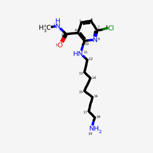 CNC(=O)c1ccc(Cl)nc1NCCCCCCCN